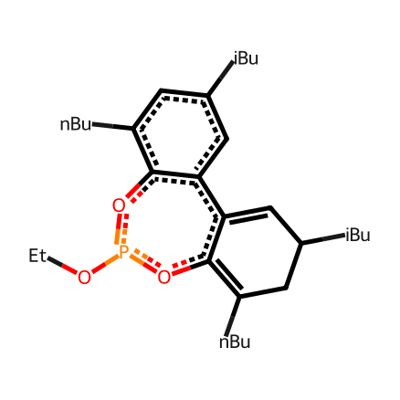 CCCCC1=c2op(OCC)oc3c(CCCC)cc(C(C)CC)cc3c2=CC(C(C)CC)C1